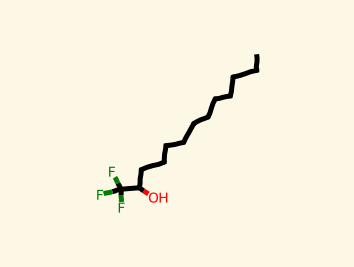 CCCCCCCCCCCC(O)C(F)(F)F